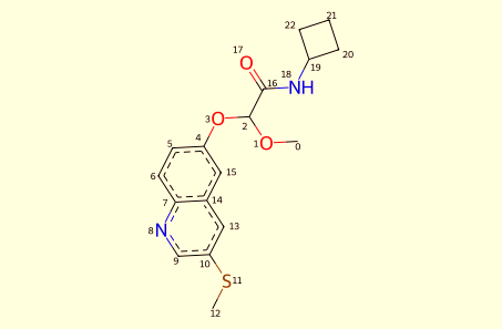 COC(Oc1ccc2ncc(SC)cc2c1)C(=O)NC1CCC1